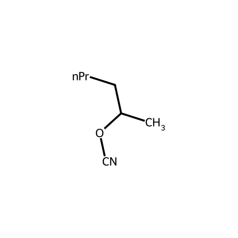 CCCCC(C)OC#N